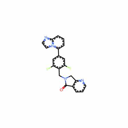 O=C1c2cccnc2CN1Cc1c(F)cc(-c2cccc3nccn23)cc1F